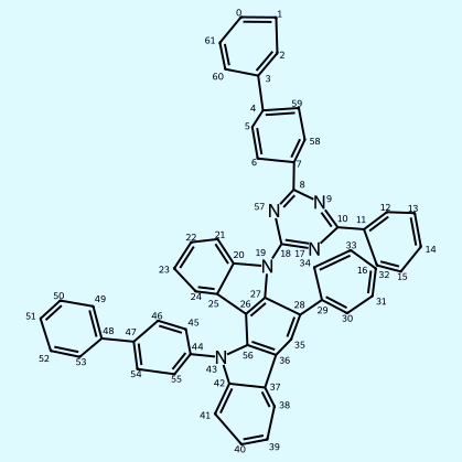 c1ccc(-c2ccc(-c3nc(-c4ccccc4)nc(-n4c5ccccc5c5c4c(-c4ccccc4)cc4c6ccccc6n(-c6ccc(-c7ccccc7)cc6)c45)n3)cc2)cc1